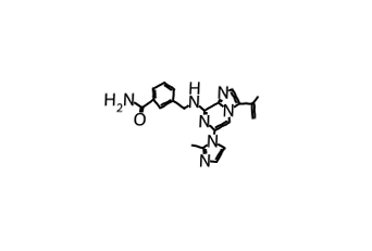 C=C(C)c1cnc2c(NCc3cccc(C(N)=O)c3)nc(-n3ccnc3C)cn12